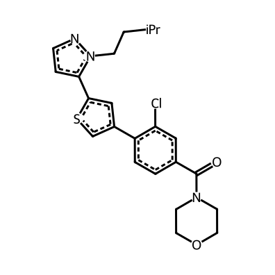 CC(C)CCn1nccc1-c1cc(-c2ccc(C(=O)N3CCOCC3)cc2Cl)cs1